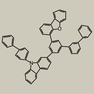 c1ccc(-c2ccc(-n3c4ccccc4c4ccc(-c5cc(-c6cccc(-c7ccccc7)c6)cc(-c6cccc7c6oc6ccccc67)c5)cc43)cc2)cc1